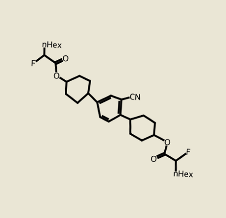 CCCCCCC(F)C(=O)OC1CCC(c2ccc(C3CCC(OC(=O)C(F)CCCCCC)CC3)c(C#N)c2)CC1